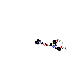 COc1cccc(CN(Cc2cccc(OC)c2)c2nc(COCCOCCN3CCc4ccccc43)cs2)c1